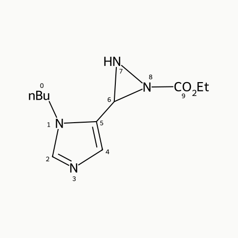 CCCCn1cncc1C1NN1C(=O)OCC